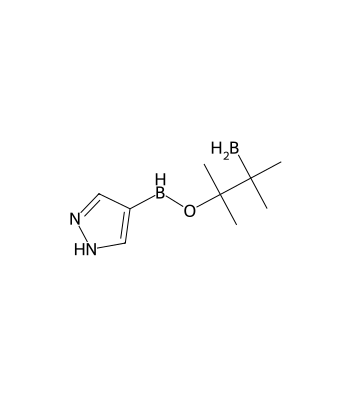 BC(C)(C)C(C)(C)OBc1cn[nH]c1